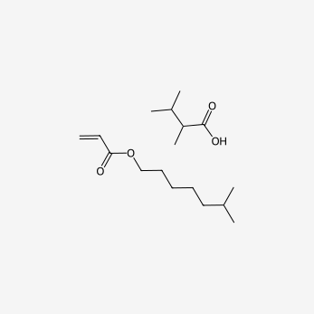 C=CC(=O)OCCCCCC(C)C.CC(C)C(C)C(=O)O